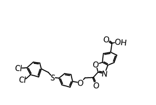 O=C(O)c1ccc2nc(C(=O)COc3ccc(SCc4ccc(Cl)c(Cl)c4)cc3)oc2c1